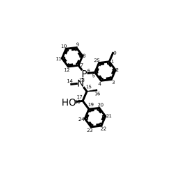 Cc1cccc([P@](c2ccccc2)N(C)[C@@H](C)C(O)c2ccccc2)c1